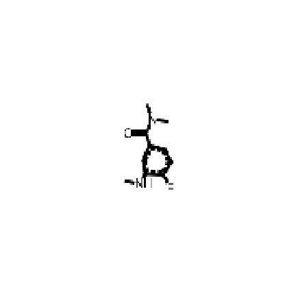 CNc1cc(C(=O)N(C)C)ccc1F